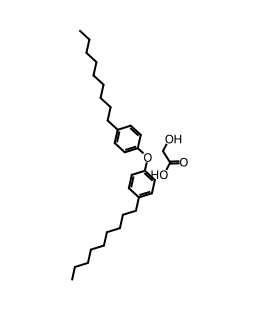 CCCCCCCCCc1ccc(Oc2ccc(CCCCCCCCC)cc2)cc1.O=C(O)CO